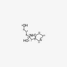 NC(O)([CH]CCO)CC1CCCCC1